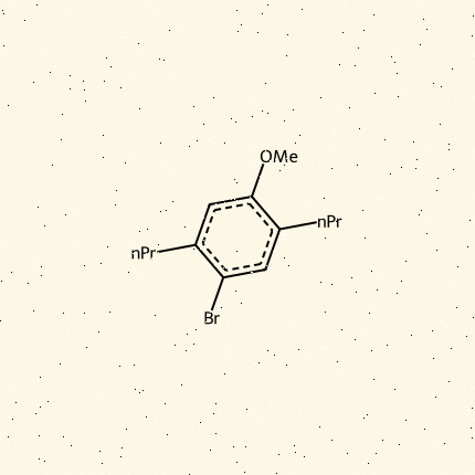 CCCc1cc(OC)c(CCC)cc1Br